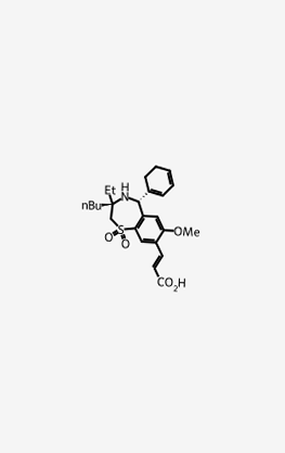 CCCC[C@]1(CC)CS(=O)(=O)c2cc(/C=C/C(=O)O)c(OC)cc2[C@@H](C2=CC=CCC2)N1